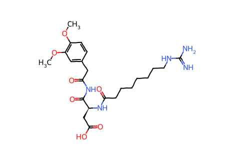 COc1ccc(CC(=O)NC(=O)[C@H](CC(=O)O)NC(=O)CCCCCCCNC(=N)N)cc1OC